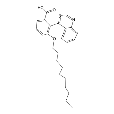 CCCCCCCCCCOc1cccc(C(=O)O)c1-c1ncnc2ccccc12